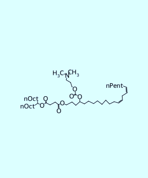 CCCCC/C=C\C/C=C\CCCCCCCCC(CCCOC(=O)CCC(=O)OC(CCCCCCCC)CCCCCCCC)OC(=O)OCCCN(C)C